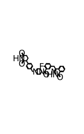 O=C1CCC(c2ccc(CN3CCN(C(=O)c4cc(Cc5n[nH]c(=O)c6ccccc56)ccc4F)CC3)cc2)C(=O)N1